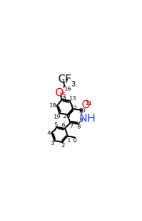 Cc1ccccc1-c1c[nH]c(=O)c2cc(OCC(F)(F)F)ccc12